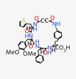 COc1ccc(C[C@@H]2NC(=O)[C@@H](Cc3cccs3)NC(=O)CCC(=O)Nc3ccc(cc3)C[C@@H](C(=O)O)NC(=O)[C@@H](Cc3ccccc3)NC2=O)cc1OC